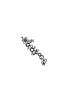 CCN(C)S(=O)(=O)Nc1ccc(F)c(Oc2ccc3ncn(C4CCC5(CCN(C(=O)OC(C)(C)C)CC5)C4)c(=O)c3c2F)c1C#N